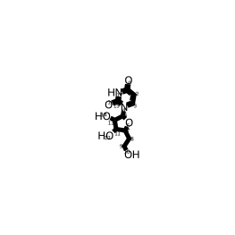 O=c1ccn(C2OC(CCO)C(O)C2O)c(=O)[nH]1